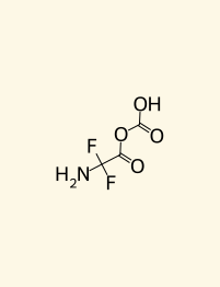 NC(F)(F)C(=O)OC(=O)O